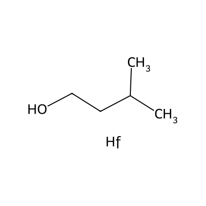 CC(C)CCO.[Hf]